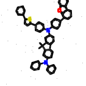 CC1(C)c2cc(N(c3ccccc3)c3ccccc3)ccc2-c2ccc(N(c3ccc(-c4ccc(-c5ccccc5)s4)cc3)c3ccc(-c4cccc5c4oc4ccccc45)cc3)cc21